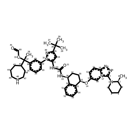 C[C@H]1CCCCN1c1nnc2ccc(O[C@@H]3CC[C@H](NC(=O)Nc4cc(C(C)(C)C)nn4-c4cccc(C(C)(OC=O)C5CCCNCC5)c4)c4ccccc43)cn12